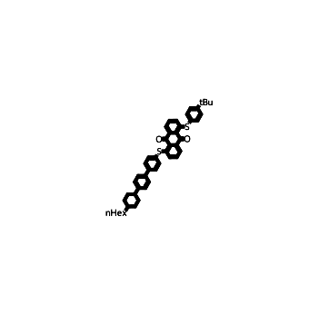 CCCCCCC1CCC(c2ccc(-c3ccc(Sc4cccc5c4C(=O)c4cccc(Sc6ccc(C(C)(C)C)cc6)c4C5=O)cc3)cc2)CC1